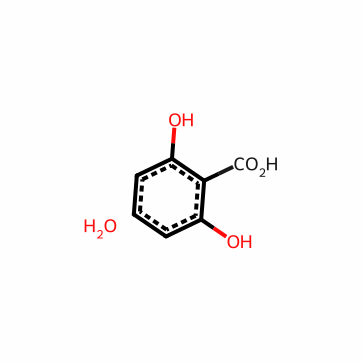 O.O=C(O)c1c(O)cccc1O